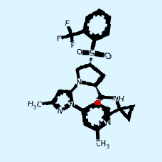 Cc1cc(-n2nc(C)cc2N2C[C@H](S(=O)(=O)c3ccccc3C(F)(F)F)C[C@H]2C(=O)NC2(C#N)CC2)ccn1